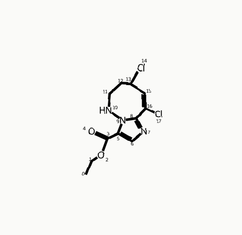 CCOC(=O)c1cnc2n1NCCC(Cl)/C=C\2Cl